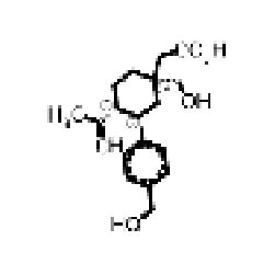 C=C(C)[C@@H]1CC[C@@](CO)(CC(=O)O)C[C@H]1c1ccc(CO)cc1